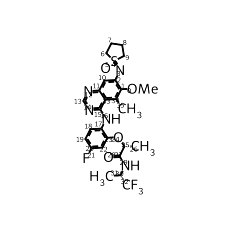 COc1c(N=S2(=O)CCCC2)cc2ncnc(Nc3ccc(F)cc3O[C@H](C)C(=O)N[C@@H](C)C(F)(F)F)c2c1C